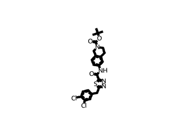 CC(C)(C)OC(=O)N1CCc2cc(NC(=O)c3nnc(Cc4ccc(Cl)c(Cl)c4)s3)ccc2C1